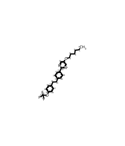 CCCCCCOc1cnc(-c2ccc(CCc3ccc(OC(F)(F)F)cc3)cc2)nc1